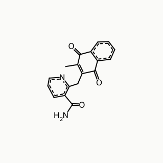 CC1=C(Cc2ncccc2C(N)=O)C(=O)c2ccccc2C1=O